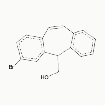 OCC1c2ccccc2C=Cc2ccc(Br)cc21